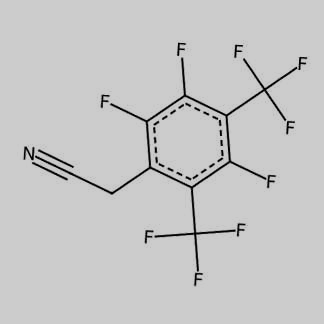 N#CCc1c(F)c(F)c(C(F)(F)F)c(F)c1C(F)(F)F